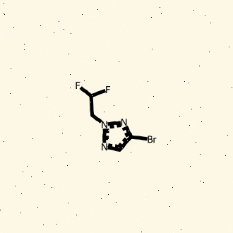 FC(F)Cn1ncc(Br)n1